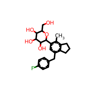 Cc1c(C2OC(CO)C(O)C(O)C2O)cc(Cc2ccc(F)cc2)c2c1CCC2